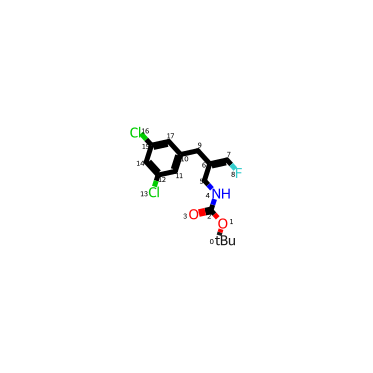 CC(C)(C)OC(=O)NC/C(=C\F)Cc1cc(Cl)cc(Cl)c1